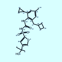 CC(C)(O)c1coc(S(=O)(=O)NC(=O)Nc2c(CC3CCC3)cc(F)cc2C2CC2)c1